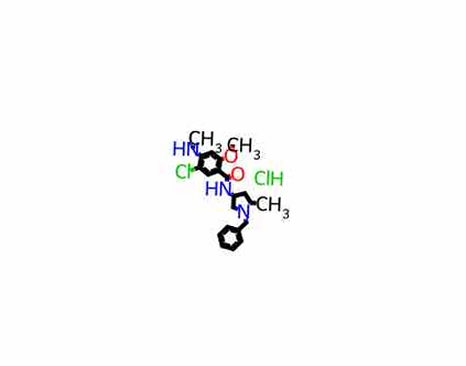 CNc1cc(OC)c(C(=O)NC2CC(C)N(Cc3ccccc3)C2)cc1Cl.Cl